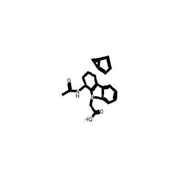 CC(=O)NC1CCCc2c1n(CC(=O)O)c1ccccc21.c1cc2cc-2c1